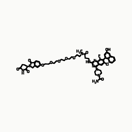 CN(CCOCCOCCOCCOCCOc1ccc2c(c1)CN(C1CCC(=O)NC1=O)C2=O)C(=O)CCNc1nc(N2CCN(C(N)=O)CC2)c2cc(Cl)c(-c3cc(O)cc4ccccc34)c(F)c2n1